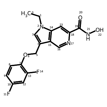 CCn1cc(COc2ccc(F)cc2F)c2cnc(C(=O)NO)cc21